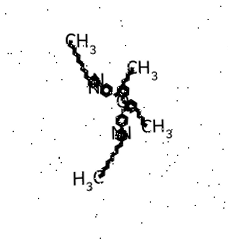 CCCCCCCCCCc1cnc([C@H]2CC[C@H](Cc3cc(CCCCC)ccc3Oc3ccc(CCCCC)cc3C[C@H]3CC[C@H](c4ncc(CCCCCCCCCC)cn4)CC3)CC2)nc1